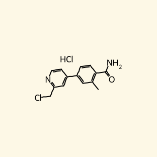 Cc1cc(-c2ccnc(CCl)c2)ccc1C(N)=O.Cl